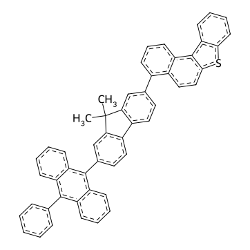 CC1(C)c2cc(-c3c4ccccc4c(-c4ccccc4)c4ccccc34)ccc2-c2ccc(-c3cccc4c3ccc3sc5ccccc5c34)cc21